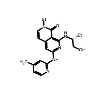 CC[C@H](CO)Nc1nc(Nc2cc(C)ccn2)cc2ccn(CC)c(=O)c12